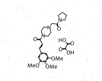 COc1cc(C=CC(=O)N2CCN(CC(=O)N3CCCC3)CC2)cc(OC)c1OC.O=C(O)C(=O)O